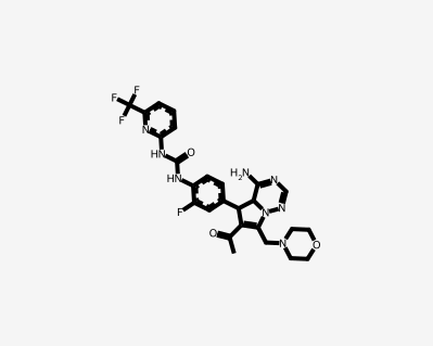 CC(=O)C1=C(CN2CCOCC2)N2N=CN=C(N)C2C1c1ccc(NC(=O)Nc2cccc(C(F)(F)F)n2)c(F)c1